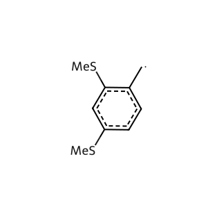 [CH2]c1ccc(SC)cc1SC